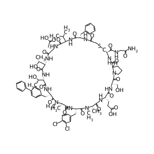 CC(C)C1NC(=O)[C@H](Cc2ccccc2)NC(=O)CSC[C@@H](C(=O)NCC(N)=O)NC(=O)[C@@H]2CCCN2C(=O)[C@H](CO)NC(=O)[C@H](CCC(=O)O)NC(=O)[C@H](C)N(C)C(=O)[C@H](Cc2ccc(Cl)c(Cl)c2)NC(=O)[C@H](C)N(C)C(=O)[C@H](Cc2ccc(-c3ccccc3)cc2)NC(=O)[C@H]([C@@H](C)O)NC(=O)[C@H]([C@@H](C)O)NC(=O)[C@H](CC(=O)O)NC1=O